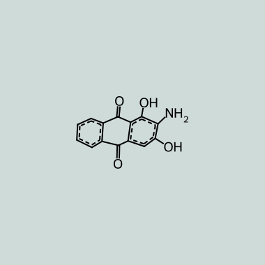 Nc1c(O)cc2c(c1O)C(=O)c1ccccc1C2=O